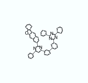 c1ccc(-c2cc(-c3cccc(-c4cccc(-c5nc(-c6ccccc6)nc(-c6ccccc6)n5)c4)c3)nc(-c3ccc4cc5c(cc4c3)oc3ccccc35)n2)cc1